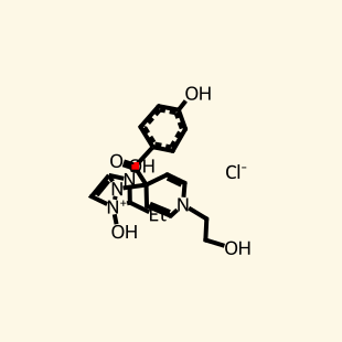 CCC1N(O)C2=C[N+]1(O)N2C1(C(=O)c2ccc(O)cc2)C=CN(CCO)C=C1.[Cl-]